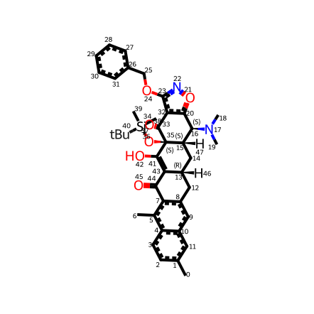 Cc1ccc2c(C)c3c(cc2c1)C[C@H]1C[C@H]2[C@H](N(C)C)c4onc(OCc5ccccc5)c4C(=O)[C@@]2(O[Si](C)(C)C(C)(C)C)C(O)=C1C3=O